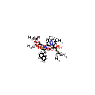 CCCC[C@H](NC(=O)[C@H](Cc1cccc2ccccc12)CS(=O)(=O)CC(COC(C)=O)OC(C)=O)C(=O)N[C@@H](CC(C)C)[C@@H](O)[C@@H](O)CSC(C)C